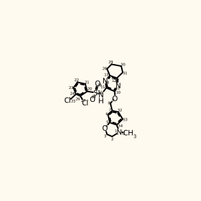 CN1CCOc2cc(COc3nc4c(nc3NS(=O)(=O)c3cccc(Cl)c3Cl)CCCC4)ccc21